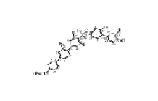 CCCCCc1ccc(-c2ccc(-c3cc(F)c(C(F)(F)Oc4ccc(-c5ccc(Cl)c(F)c5)c(F)c4)c(F)c3)c(F)c2)nc1